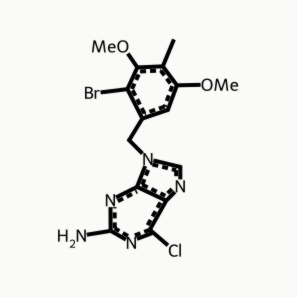 COc1cc(Cn2cnc3c(Cl)nc(N)nc32)c(Br)c(OC)c1C